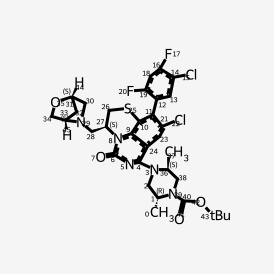 C[C@@H]1CN(c2nc(=O)n3c4c(c(-c5cc(Cl)c(F)cc5F)c(Cl)cc24)SC[C@@H]3CN2C[C@@H]3C[C@H]2CO3)[C@@H](C)CN1C(=O)OC(C)(C)C